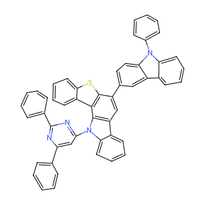 c1ccc(-c2cc(-n3c4ccccc4c4cc(-c5ccc6c(c5)c5ccccc5n6-c5ccccc5)c5sc6ccccc6c5c43)nc(-c3ccccc3)n2)cc1